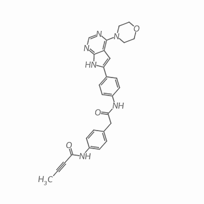 CC#CC(=O)Nc1ccc(CC(=O)Nc2ccc(-c3cc4c(N5CCOCC5)ncnc4[nH]3)cc2)cc1